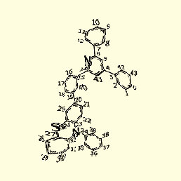 c1ccc(-c2cc(-c3ccccc3)nc(-c3cccc(-c4ccc5c(c4)Sc4ccccc4N5c4ccccc4)c3)c2)cc1